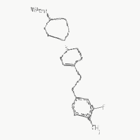 CCCCC[C@H]1CC[C@H](C2CC=C(CCc3ccc(C)c(F)c3)CC2)CC1